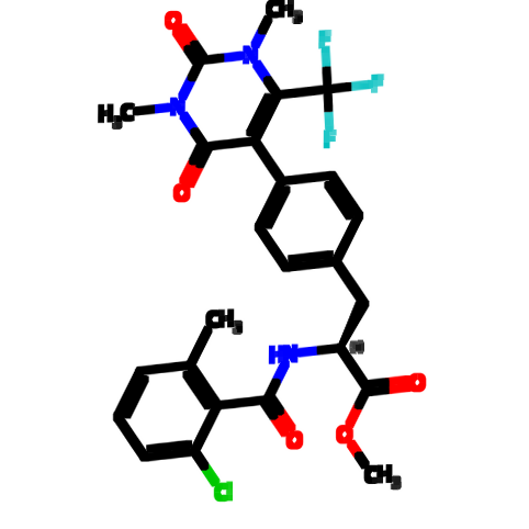 COC(=O)[C@H](Cc1ccc(-c2c(C(F)(F)F)n(C)c(=O)n(C)c2=O)cc1)NC(=O)c1c(C)cccc1Cl